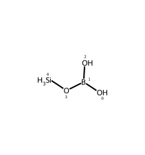 OB(O)O[SiH3]